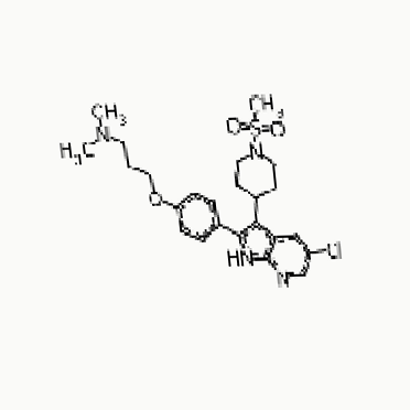 CN(C)CCCOc1ccc(-c2[nH]c3ncc(Cl)cc3c2C2CCN(S(C)(=O)=O)CC2)cc1